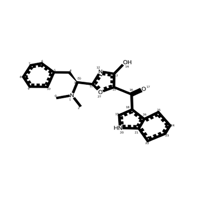 CN(C)[C@@H](Cc1ccccc1)c1nc(O)c(C(=O)c2c[nH]c3ccccc23)o1